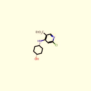 CCOC(=O)c1cnc(Cl)cc1N[C@H]1CC[C@@H](O)CC1